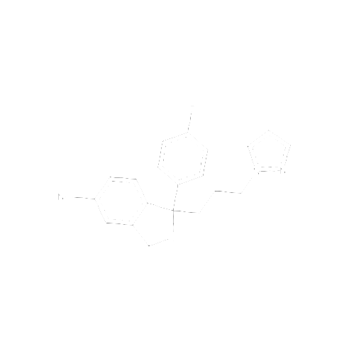 N#Cc1ccc2c(c1)COC2(CCCn1cccn1)c1ccc(F)cc1